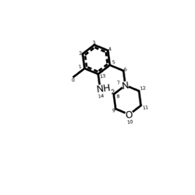 Cc1cccc(CN2CCOCC2)c1N